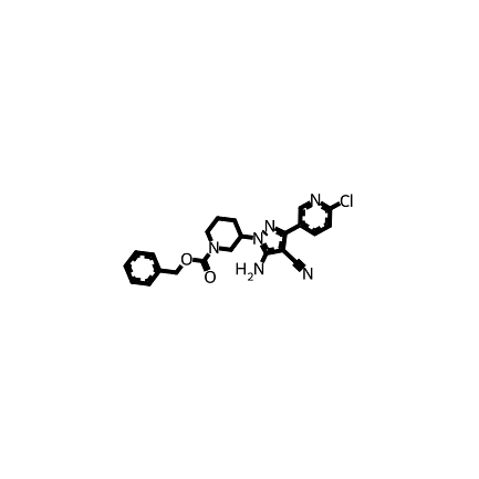 N#Cc1c(-c2ccc(Cl)nc2)nn(C2CCCN(C(=O)OCc3ccccc3)C2)c1N